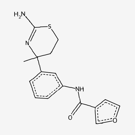 CC1(c2cccc(NC(=O)c3ccoc3)c2)CCSC(N)=N1